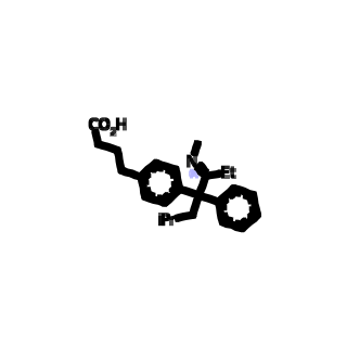 CC/C(=N\C)C(CC(C)C)(c1ccccc1)c1ccc(CCCC(=O)O)cc1